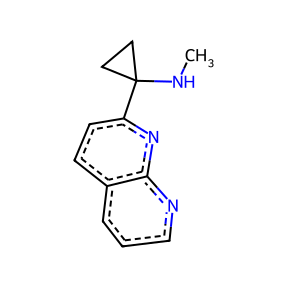 CNC1(c2ccc3cccnc3n2)CC1